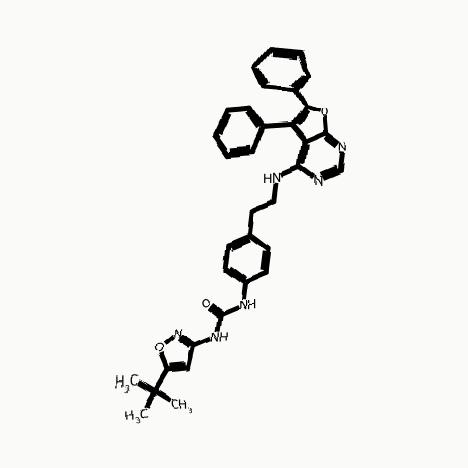 CC(C)(C)c1cc(NC(=O)Nc2ccc(CCNc3ncnc4oc(-c5ccccc5)c(-c5ccccc5)c34)cc2)no1